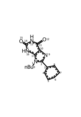 CCCCn1c(-c2ccccc2)nc2c(=O)[nH]c(=O)[nH]c21